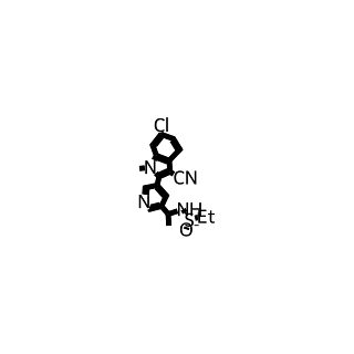 CC[S+]([O-])NC(C)c1cncc(-c2c(C#N)c3ccc(Cl)cc3n2C)c1